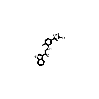 CCc1noc(-c2ccc(C)c(NCC(=O)c3c[nH]c4ccccc34)c2)n1